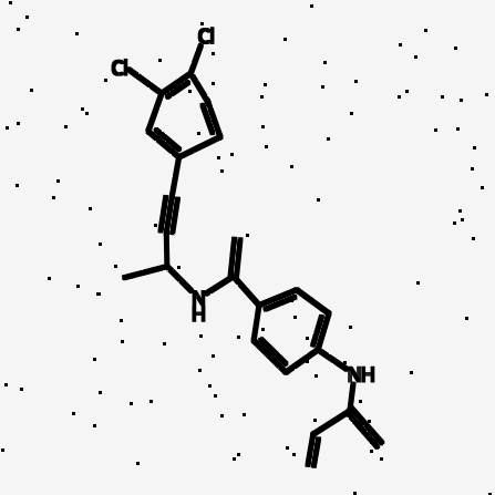 C=CC(=C)Nc1ccc(C(=C)NC(C)C#Cc2ccc(Cl)c(Cl)c2)cc1